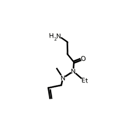 C=CCN(C)N(CC)C(=O)CCN